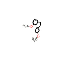 COc1cccc(/C=C\c2cccc(OC)c2)c1